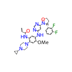 C=CC(=O)Nc1cc(Nc2cc(N3OCC[C@@H]3c3cccc(F)c3F)ncn2)c(OC)cc1N1CCN(C2CC2)CC1